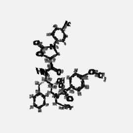 CC(=O)c1ccc(N2C[C@@H](C(=O)N[C@@H](Cc3ccccc3)[C@H](O)CN(CC(C)C)S(=O)(=O)c3ccc(OC(F)(F)F)cc3)OC2=O)cc1